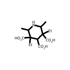 CCC1(C(=O)O)C(C)NC(C)C(CC)(C(=O)O)C1C(=O)O